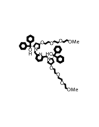 COCCOCCOCCO[C@@H]1C[C@@H](C(O)(c2ccccc2)c2ccccc2)N(Cc2cccc(CN3C[C@H](OCCOCCOCCOC)C[C@H]3C(O)(c3ccccc3)c3ccccc3)n2)C1